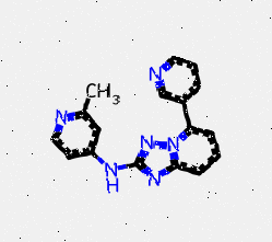 Cc1cc(Nc2nc3cccc(-c4cccnc4)n3n2)ccn1